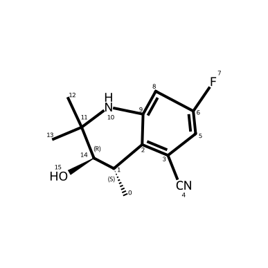 C[C@H]1c2c(C#N)cc(F)cc2NC(C)(C)[C@@H]1O